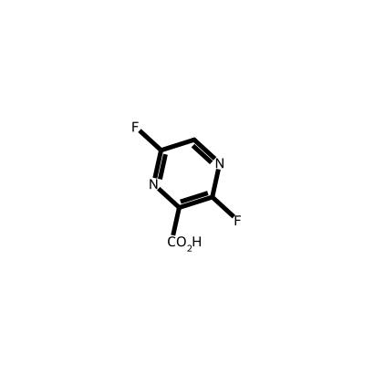 O=C(O)c1nc(F)cnc1F